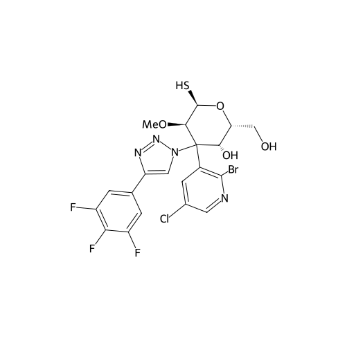 CO[C@H]1[C@@H](S)O[C@H](CO)[C@H](O)C1(c1cc(Cl)cnc1Br)n1cc(-c2cc(F)c(F)c(F)c2)nn1